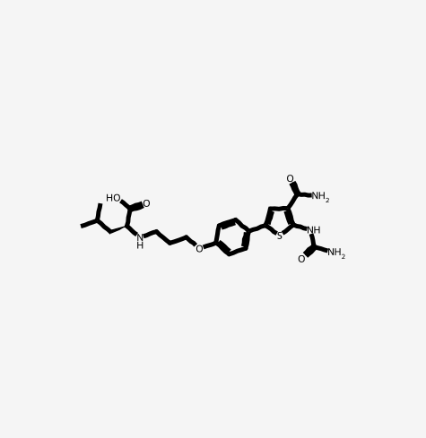 CC(C)C[C@H](NCCCOc1ccc(-c2cc(C(N)=O)c(NC(N)=O)s2)cc1)C(=O)O